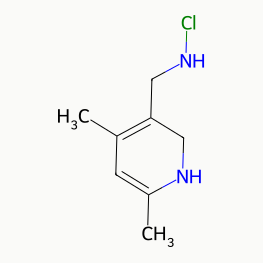 CC1=CC(C)=C(CNCl)CN1